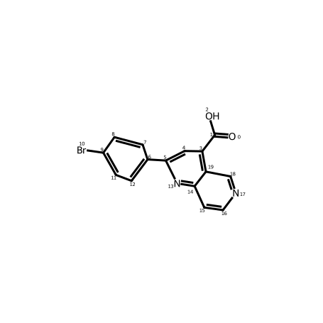 O=C(O)c1cc(-c2ccc(Br)cc2)nc2ccncc12